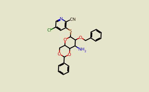 N#Cc1ncc(Cl)cc1SC1OC2COC(c3ccccc3)OC2C(N)C1OCc1ccccc1